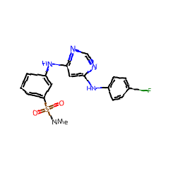 CNS(=O)(=O)c1cccc(Nc2cc(Nc3ccc(F)cc3)ncn2)c1